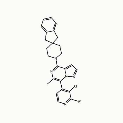 Cc1nc(N2CCC3(CC2)Cc2cccnc2C3)c2ccnn2c1-c1ccnc(C(C)C)c1Cl